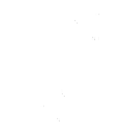 C1CC(CNC2=NCCO2)CC(CNC2=NCCO2)C1